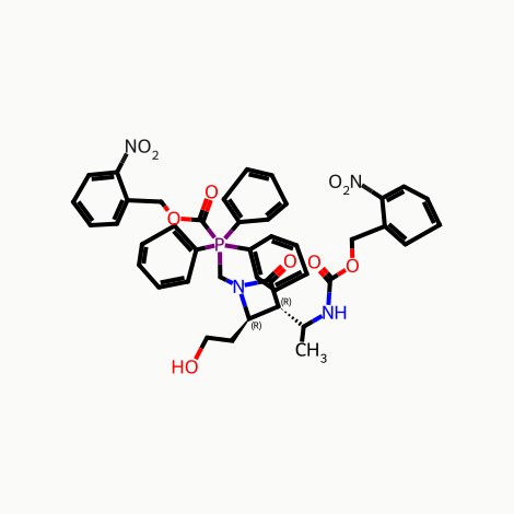 CC(NC(=O)OCc1ccccc1[N+](=O)[O-])[C@H]1C(=O)N(CP(C(=O)OCc2ccccc2[N+](=O)[O-])(c2ccccc2)(c2ccccc2)c2ccccc2)[C@@H]1CCO